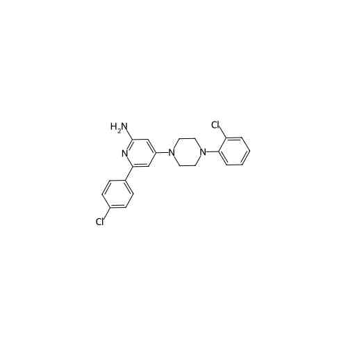 Nc1cc(N2CCN(c3ccccc3Cl)CC2)cc(-c2ccc(Cl)cc2)n1